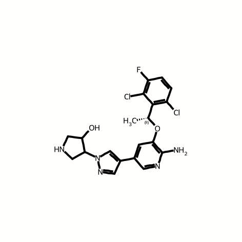 C[C@@H](Oc1cc(-c2cnn(C3CNCC3O)c2)cnc1N)c1c(Cl)ccc(F)c1Cl